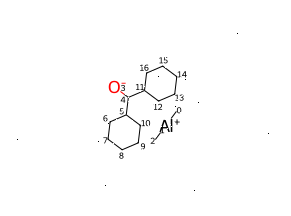 [CH3][Al+][CH3].[O-]C(C1CCCCC1)C1CCCCC1